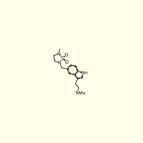 CNCCc1c[nH]c2ccc(CN3CCN(C)S3(=O)=O)cc12